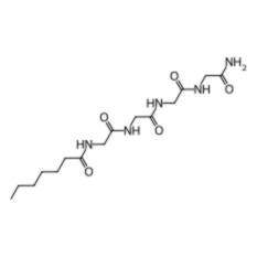 CCCCCCC(=O)NCC(=O)NCC(=O)NCC(=O)NCC(N)=O